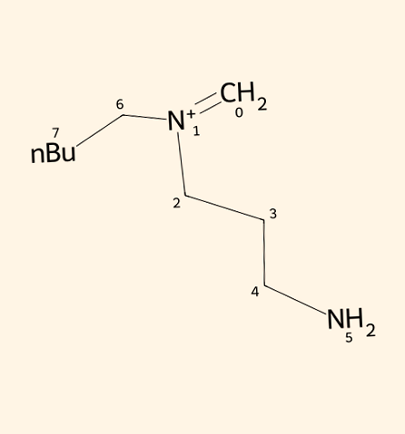 C=[N+](CCCN)CCCCC